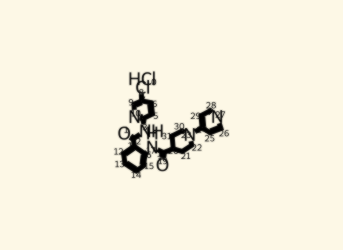 Cl.O=C(Nc1ccc(Cl)cn1)c1ccccc1NC(=O)C1CCN(c2ccncc2)CC1